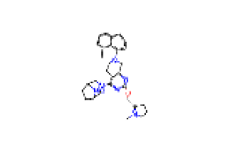 Cc1cccc2cccc(N3CCc4c(nc(OC[C@@H]5CCCN5C)nc4N4CC5CCC(C4)N5)C3)c12